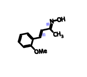 COc1ccccc1/C=C/C(C)=N/O